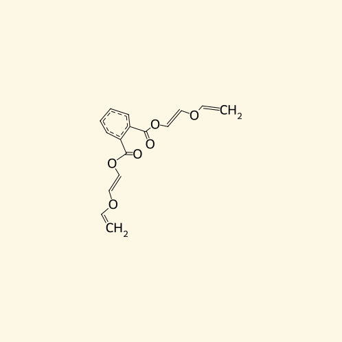 C=COC=COC(=O)c1ccccc1C(=O)OC=COC=C